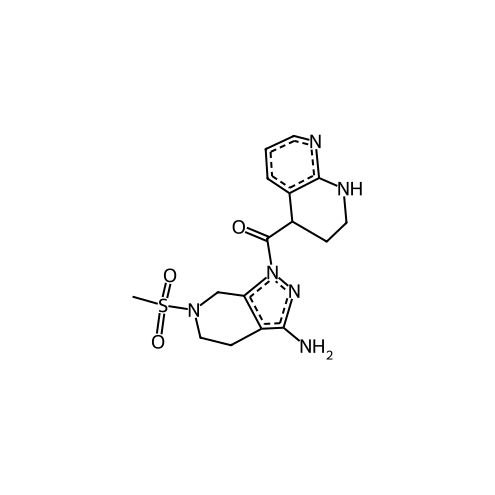 CS(=O)(=O)N1CCc2c(N)nn(C(=O)C3CCNc4ncccc43)c2C1